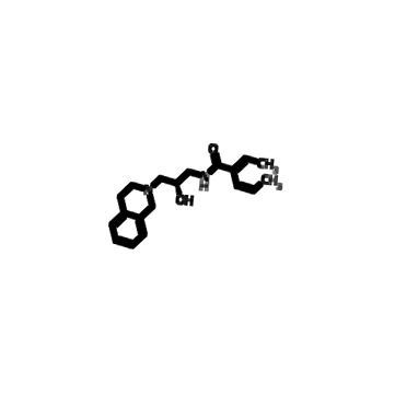 C/C=C\C(=C/C)C(=O)NC[C@@H](O)CN1CCc2ccccc2C1